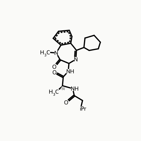 CC(C)CC(=O)N[C@@H](C)C(=O)NC1N=C(C2CCCCC2)c2ccccc2N(C)C1=O